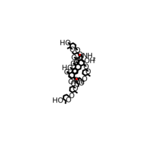 COC1=CC(=O)c2c(cc3c(c2O)C(=O)C2(OC4CCC(OC5CCC(O)C(C)O5)C(C)O4)C(=O)C(C(N)=O)=C(O)C(OC4CCC(OC5CCC(OC6CCC(OC7CCC(O)C(C)O7)C(C)O6)C(C)O5)C(C)O4)C2C3)C1=O